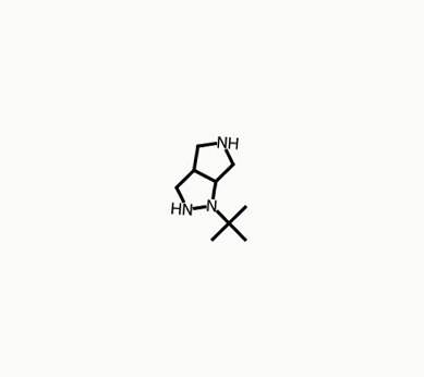 CC(C)(C)N1NCC2CNCC21